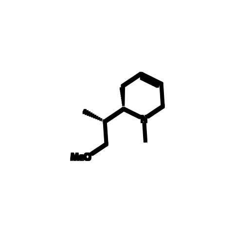 COC[C@H](C)[C@@H]1CC=CCN1C